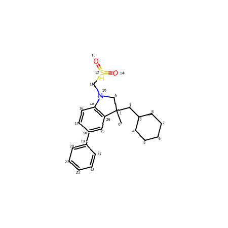 CC1(CC2CCCCC2)CN(C[SH](=O)=O)c2ccc(-c3ccccc3)cc21